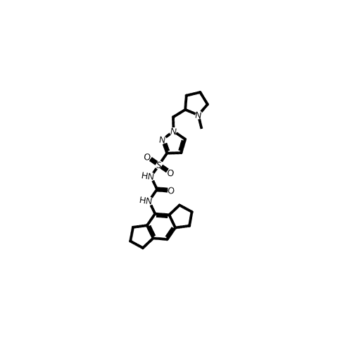 CN1CCCC1Cn1ccc(S(=O)(=O)NC(=O)Nc2c3c(cc4c2CCC4)CCC3)n1